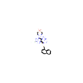 [O-][S+]1CCN(c2nc(Cl)nc3c(SCc4cccc5ccccc45)ncnc23)CC1